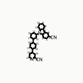 N#Cc1ccc2c(c1)c1ccccc1n2-c1cccc(-c2ccc(-c3ccnc(C#N)c3)cc2)c1